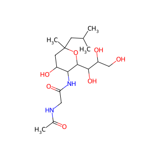 CC(=O)NCC(=O)NC1C(O)CC(C)(CC(C)C)OC1C(O)C(O)CO